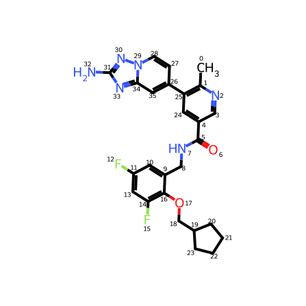 Cc1ncc(C(=O)NCc2cc(F)cc(F)c2OCC2CCCC2)cc1-c1ccn2nc(N)nc2c1